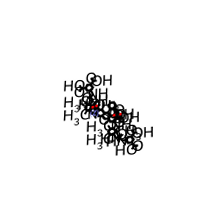 Cc1cc(C)c(NC(=O)Nc2cc(C(=O)O)cc(C(=O)O)c2)c(C)c1/N=c1/cc2oc3cc(Nc4c(C)cc(C)c(NC(=O)Nc5cc(C(=O)O)cc(C(=O)O)c5)c4C)c(S(=O)(=O)O)cc3c(-c3ccccc3S(=O)(=O)O)c-2cc1S(=O)(=O)O